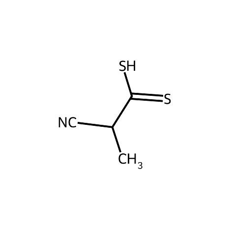 CC(C#N)C(=S)S